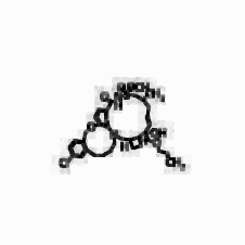 C=CCOC[C@@]1(O)/C=C/C[C@H](C)[C@@H](C)S(=O)(=O)NC(=O)c2ccc3c(c2)N(CCCCc2cc(Cl)ccc2CO3)C[C@@H]2CC[C@H]21